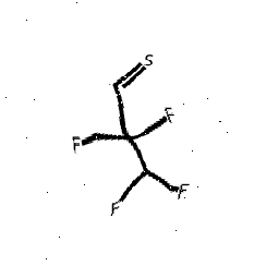 FC(F)C(F)(F)[C]=S